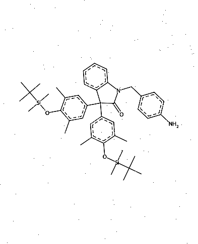 Cc1cc(C2(c3cc(C)c(O[Si](C)(C)C(C)(C)C)c(C)c3)C(=O)N(Cc3ccc(N)cc3)c3ccccc32)cc(C)c1O[Si](C)(C)C(C)(C)C